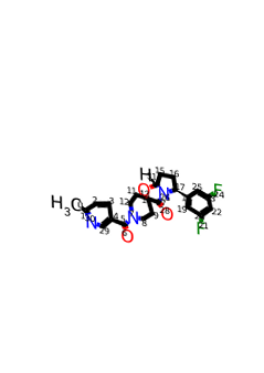 Cc1ccc(C(=O)N2CCC3(CC2)O[C@@H]2CC[C@@H](c4cc(F)cc(F)c4)N2C3=O)cn1